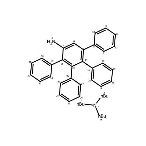 CCCCN(CCCC)CCCC.Nc1cc(-c2ccccc2)c(-c2ccccc2)c(-c2ccccc2)c1-c1ccccc1